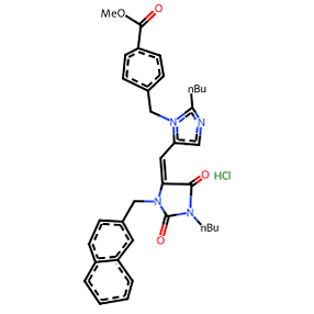 CCCCc1ncc(C=C2C(=O)N(CCCC)C(=O)N2Cc2ccc3ccccc3c2)n1Cc1ccc(C(=O)OC)cc1.Cl